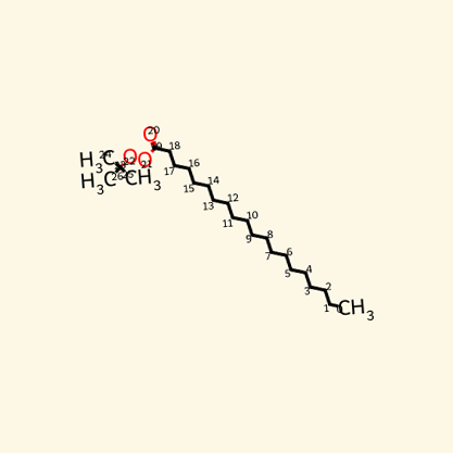 CCCCCCCCCCCCCCCCCCCC(=O)OOC(C)(C)C